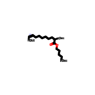 CCCCCCCC/C=C\CCCCCCC(CCCCCCCCCC)C(=O)OCCCCCCCCCCCCCC